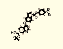 CC(C)(C)OC(O)N1CCc2c(ncnc2Oc2ccc3c(ccn3C(=O)Oc3ccc([N+](=O)[O-])cc3)c2)C1